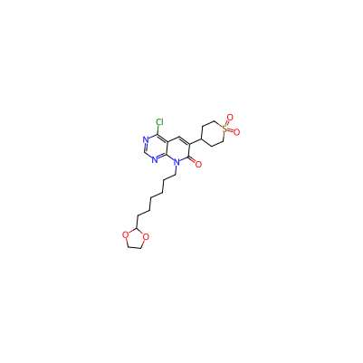 O=c1c(C2CCS(=O)(=O)CC2)cc2c(Cl)ncnc2n1CCCCCCC1OCCO1